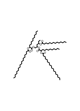 CCCCCCCCCCCCCCCCCC(=O)OC(CCCCCCCCCC)C(=O)OCC(CC(CC)OC(=O)CCCCCCCCCCCCC)OC(=O)C(CCCCCCCCCC)OC(=O)CCCCCCCCCCCCCCCCC